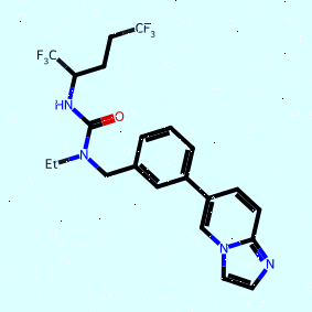 CCN(Cc1cccc(-c2ccc3nccn3c2)c1)C(=O)NC(CCC(F)(F)F)C(F)(F)F